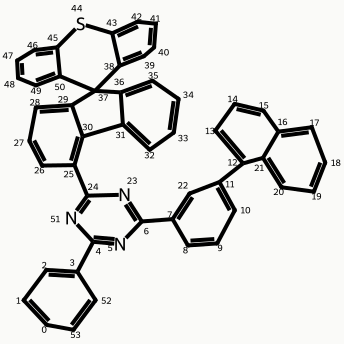 c1ccc(-c2nc(-c3cccc(-c4cccc5ccccc45)c3)nc(-c3cccc4c3-c3ccccc3C43c4ccccc4Sc4ccccc43)n2)cc1